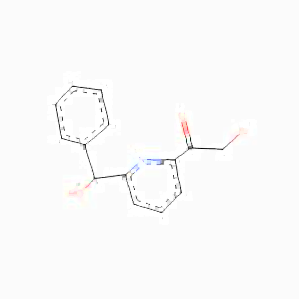 O=C(CBr)c1cccc(C(O)c2ccccc2)n1